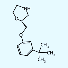 CC(C)(C)c1cccc(OC[C@@H]2CNCCO2)c1